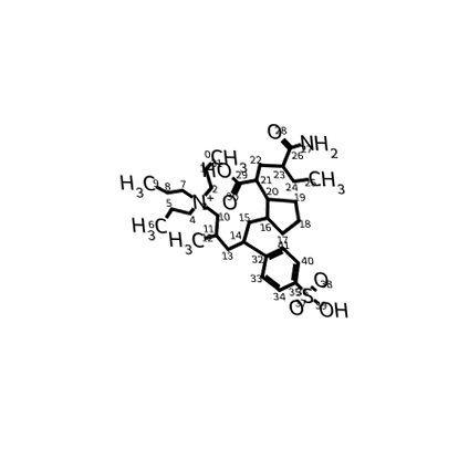 CCC[N+](CCC)(CCC)CC(C)CC(CC1CCCC1C(CC(CC)C(N)=O)C(=O)O)c1ccc(S(=O)(=O)O)cc1